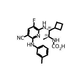 Cc1cccc(Nc2nc(N[C@H](C3CCC3)[C@H](C)NC(=O)O)c(F)cc2C#N)c1